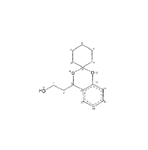 OCCC1OC2(CCCCC2)Oc2ccccc21